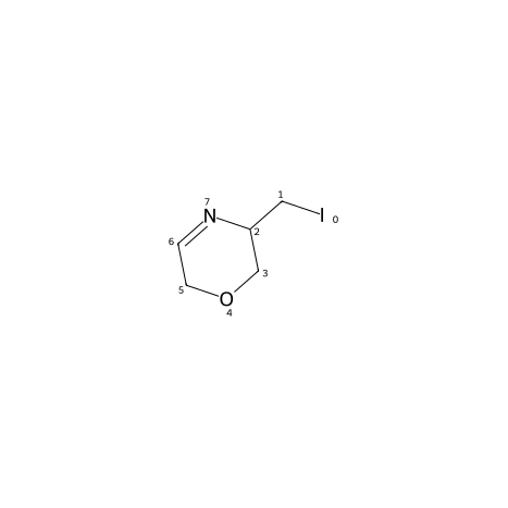 ICC1COCC=N1